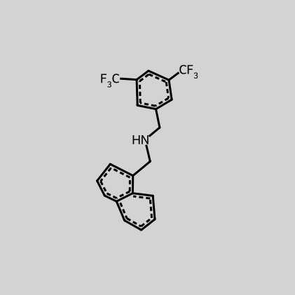 FC(F)(F)c1cc(CNCc2cccc3ccccc23)cc(C(F)(F)F)c1